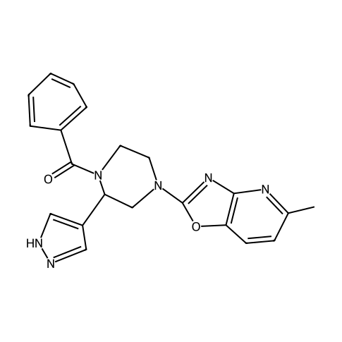 Cc1ccc2oc(N3CCN(C(=O)c4ccccc4)C(c4cn[nH]c4)C3)nc2n1